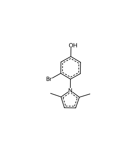 Cc1ccc(C)n1-c1ccc(O)cc1Br